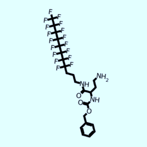 NCCC(NC(=O)OCc1ccccc1)C(=O)NCCCC(F)(F)C(F)(F)C(F)(F)C(F)(F)C(F)(F)C(F)(F)C(F)(F)C(F)(F)F